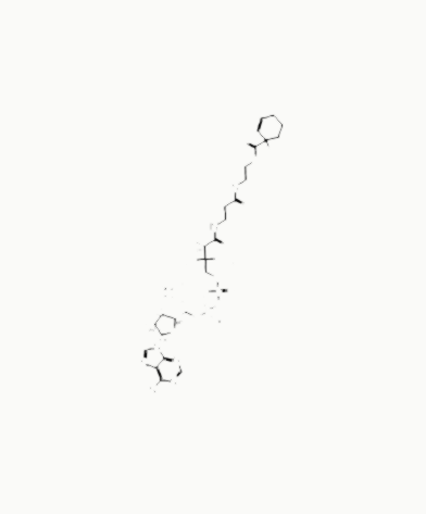 CC(C)(COP(=O)(O)OP(=O)(O)OC[C@H]1O[C@@H](n2cnc3c(N)ncnc32)[C@H](O)[C@@H]1OP(=O)(O)O)[C@@H](O)C(=O)NCCC(=O)NCCSC(=O)C1(C(=O)O)C=CCCC1